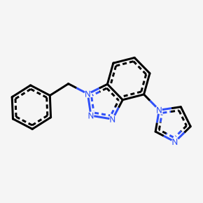 c1ccc(Cn2nnc3c(-n4ccnc4)cccc32)cc1